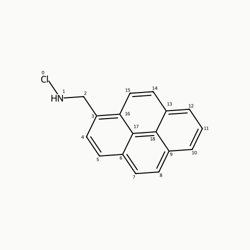 ClNCc1ccc2ccc3cccc4ccc1c2c34